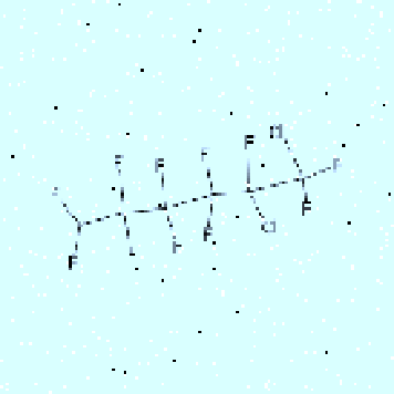 FC(F)C(F)(F)C(F)(F)C(F)(F)C(F)(Cl)C(F)(F)Cl